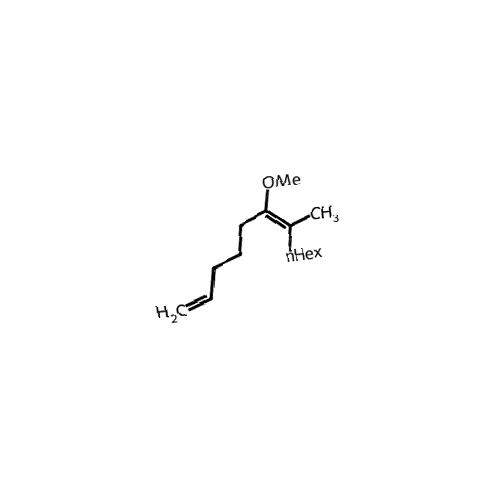 C=CCCCC(OC)=C(C)CCCCCC